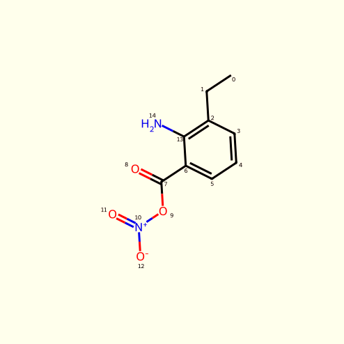 CCc1cccc(C(=O)O[N+](=O)[O-])c1N